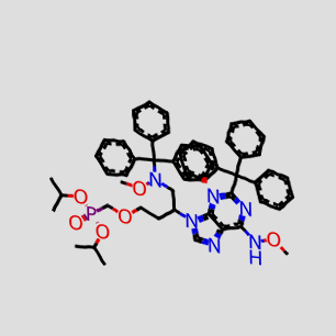 CONc1nc(C(c2ccccc2)(c2ccccc2)c2ccccc2)nc2c1ncn2C(CCOCP(=O)(OC(C)C)OC(C)C)CN(OC)C(c1ccccc1)(c1ccccc1)c1ccccc1